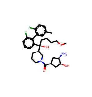 COCCCC[C@@](O)(c1cccc(F)c1-c1cc(C)ccc1F)[C@@H]1CCCN(C(=O)[C@H]2C[C@@H](N)[C@@H](O)C2)C1